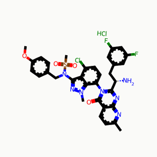 COc1ccc(CN(c2nn(C)c3c(-n4c([C@@H](N)Cc5cc(F)cc(F)c5)nc5nc(C)ccc5c4=O)ccc(Cl)c23)S(C)(=O)=O)cc1.Cl